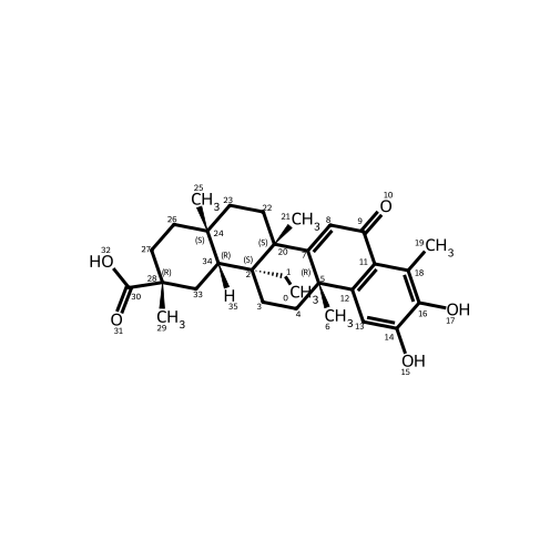 CC[C@@]12CC[C@]3(C)C(=CC(=O)c4c3cc(O)c(O)c4C)[C@@]1(C)CC[C@@]1(C)CC[C@@](C)(C(=O)O)C[C@H]12